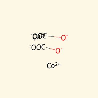 O=C([O-])[O-].O=C([O-])[O-].[Co+2].[Cu+2]